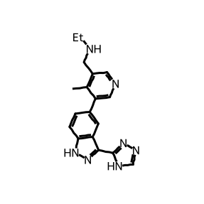 CCNCc1cncc(-c2ccc3[nH]nc(-c4nnc[nH]4)c3c2)c1C